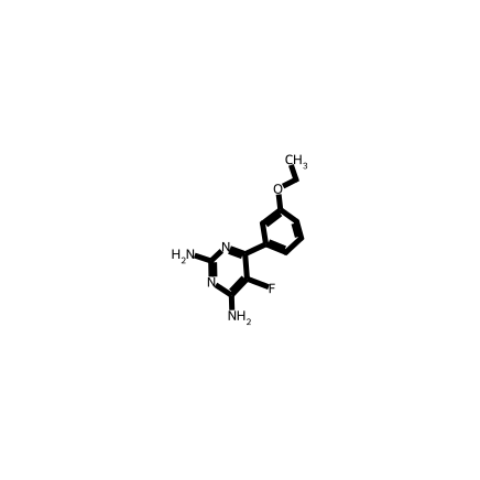 CCOc1cccc(-c2nc(N)nc(N)c2F)c1